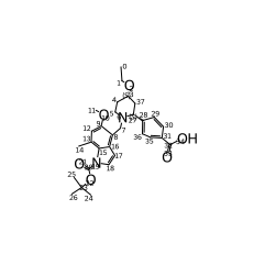 CCO[C@H]1CCN(Cc2c(OC)cc(C)c3c2ccn3C(=O)OC(C)(C)C)[C@H](c2ccc(C(=O)O)cc2)C1